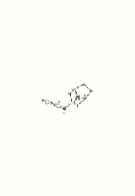 CN1C2CCC1CC(N=C=O)C2